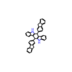 c1ccc2c(c1)Cc1cc(C3c4[nH]c5ccccc5c4C(c4ccc5c(c4)Cc4ccccc4-5)c4[nH]c5ccccc5c43)ccc1-2